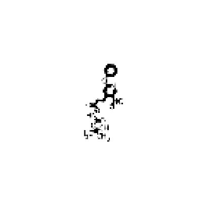 CC(C)(C)OC(=O)NOC(=O)CCc1cc(Oc2ccccc2)ncc1[N+](=O)[O-]